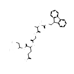 CC(C)CC(NC(=O)C(CCC(N)=O)NC(=O)CNC(=O)C(NC(=O)OCC1c2ccccc2-c2ccccc21)C(C)C)C(=O)O